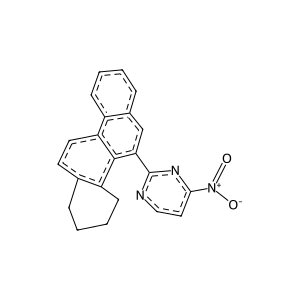 O=[N+]([O-])c1ccnc(-c2cc3ccccc3c3ccc4c(c23)CCCC4)n1